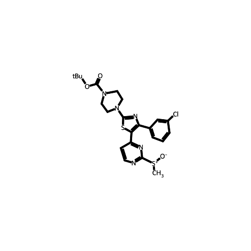 C[S+]([O-])c1nccc(-c2sc(N3CCN(C(=O)OC(C)(C)C)CC3)nc2-c2cccc(Cl)c2)n1